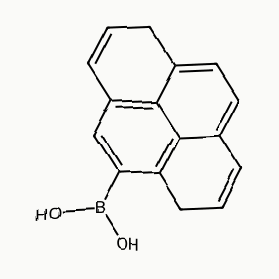 OB(O)c1cc2c3c(ccc4c3c1CC=C4)CC=C2